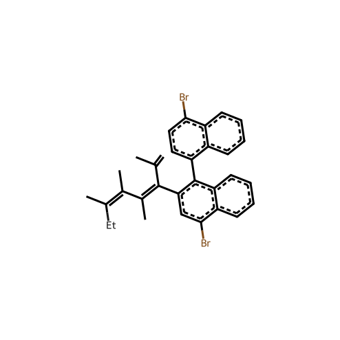 C=C(C)/C(=C(C)\C(C)=C(\C)CC)c1cc(Br)c2ccccc2c1-c1ccc(Br)c2ccccc12